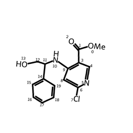 COC(=O)c1cnc(Cl)cc1NC(CO)c1ccccc1